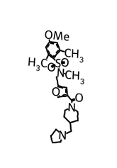 COc1cc(C)c(S(=O)(=O)N(C)Cc2cc(C(=O)N3CCC(CN4CCCC4)CC3)co2)c(C)c1